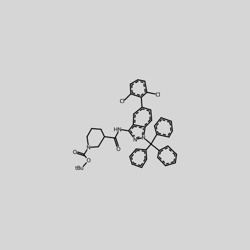 CC(C)(C)OC(=O)N1CCCC(C(=O)Nc2nn(C(c3ccccc3)(c3ccccc3)c3ccccc3)c3ccc(-c4c(Cl)cccc4Cl)cc23)C1